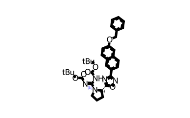 CC(C)(C)OC(=O)/N=C(\NC(=O)OC(C)(C)C)N1CCC[C@H]1c1nc(-c2ccc3cc(OCc4ccccc4)ccc3c2)no1